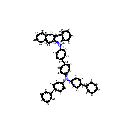 c1ccc(-c2ccc(N(c3ccc(-c4ccccc4)cc3)c3ccc(-c4ccc(-n5c6ccccc6c6cc7ccccc7cc65)cc4)cc3)cc2)cc1